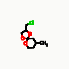 CC1CCOC2(C1)OCC(CCl)O2